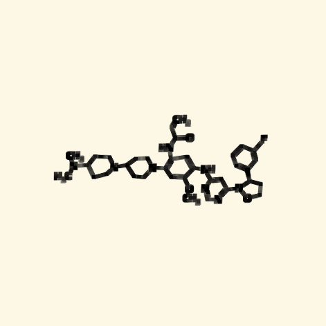 C=CC(=O)Nc1cc(Nc2cc(N3OCC[C@@H]3c3cccc(F)c3)ncn2)c(OC)cc1N1CCC(N2CCC(N(C)C)CC2)CC1